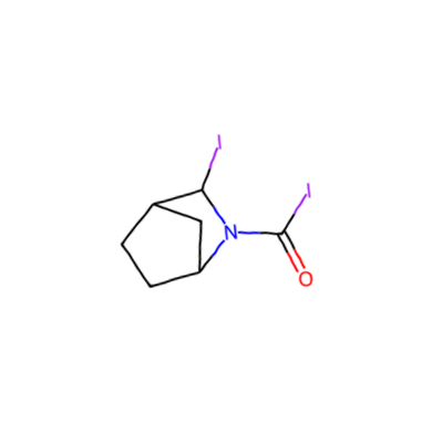 O=C(I)N1C2CCC(C2)C1I